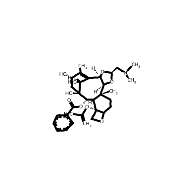 C=C(C)O[C@@]12COC1CC[C@@]1(C)[C@@H]3O[C@H](CN(C)C)O[C@@H]3C3=C(C)[C@@H](O)C[C@@](O)([C@@H](OC(=O)c4ccccc4)[C@@H]12)C3(C)C